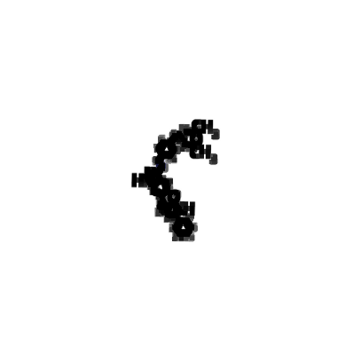 C[C@@H]1CN(Cc2ccc(/C=C/c3n[nH]c4cc([C@@H]5C[C@]56C[C@@H](c5ccccc5)NC6=O)ccc34)cc2)C[C@H](C)O1